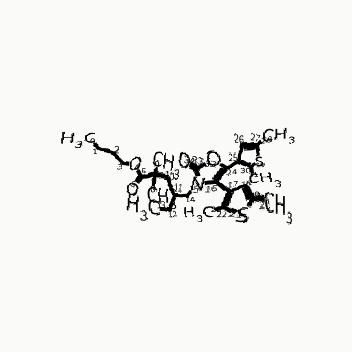 CCCCOC(=O)C(C)(C)CC(CC)Cn1c(-c2cc(C)sc2C)c(-c2cc(C)sc2C)oc1=O